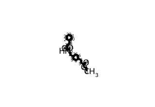 CCOC(=O)C=Cc1ccc(CCNS(=O)(=O)CCc2ccccc2)cc1